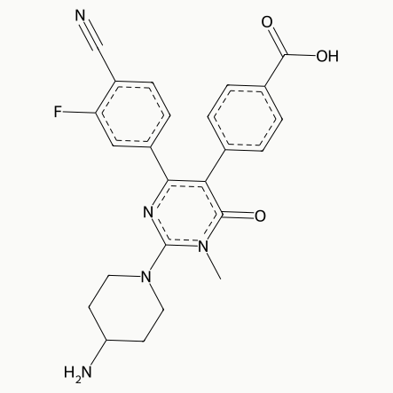 Cn1c(N2CCC(N)CC2)nc(-c2ccc(C#N)c(F)c2)c(-c2ccc(C(=O)O)cc2)c1=O